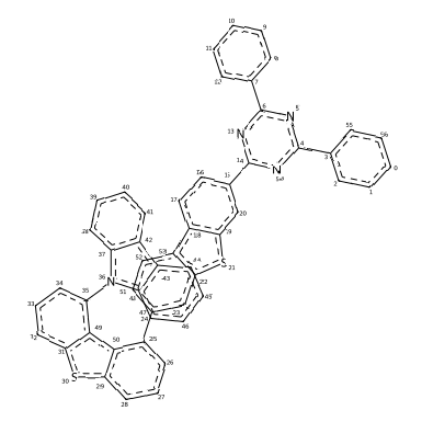 c1ccc(-c2nc(-c3ccccc3)nc(-c3ccc4c(c3)sc3cc(-c5cccc6sc7cccc(-n8c9ccccc9c9ccccc98)c7c56)ccc34)n2)cc1